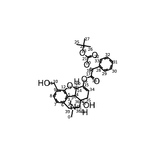 CN1CC[C@]23c4c5ccc(CO)c4O[C@H]2C(OC(=O)[C@H](OC(=O)OC(C)(C)C)c2ccccc2)=CC[C@@]3(O)[C@H]1C5